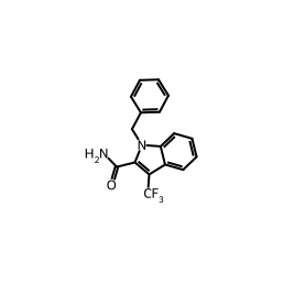 NC(=O)c1c(C(F)(F)F)c2ccccc2n1Cc1ccccc1